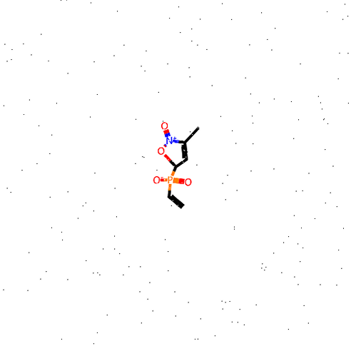 C=CP(=O)([O-])C1C=C(C)[N+](=O)O1